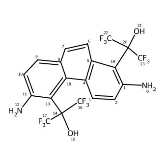 Nc1ccc2c(ccc3ccc(N)c(C(O)(C(F)(F)F)C(F)(F)F)c32)c1C(O)(C(F)(F)F)C(F)(F)F